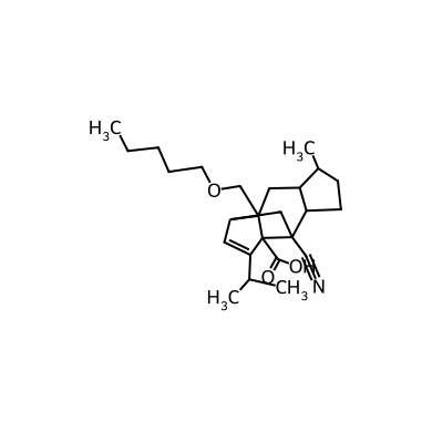 CCCCCOCC12CC3C(C)CCC3C3(C#N)CC1C=C(C(C)C)C32C(=O)O